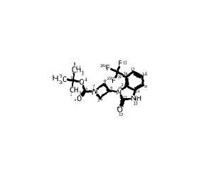 CC(C)(C)OC(=O)N1CC(n2c(=O)[nH]c3cccc(C(F)(F)F)c32)C1